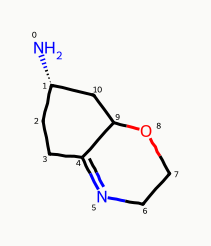 N[C@H]1CCC2=NCCOC2C1